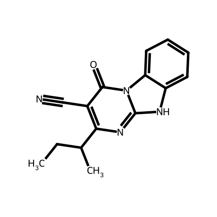 CCC(C)c1nc2[nH]c3ccccc3n2c(=O)c1C#N